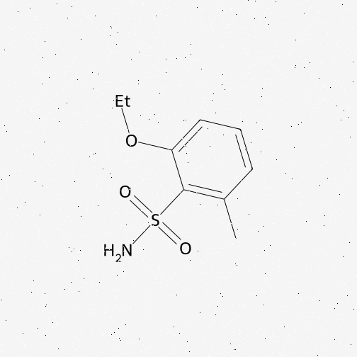 CCOc1cccc(C)c1S(N)(=O)=O